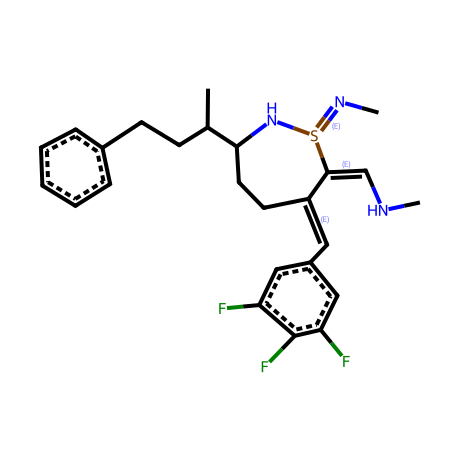 C/N=S1/NC(C(C)CCc2ccccc2)CCC(=C\c2cc(F)c(F)c(F)c2)/C1=C\NC